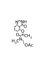 CC(=O)OCCN(C)C(=O)[C@@H](C)Oc1cccc2nc[nH]c(=O)c12